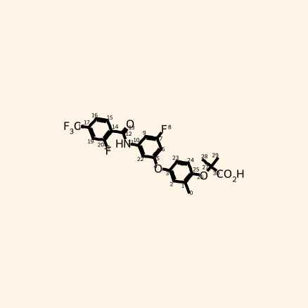 Cc1cc(Oc2cc(F)cc(NC(=O)c3ccc(C(F)(F)F)cc3F)c2)ccc1OC(C)(C)C(=O)O